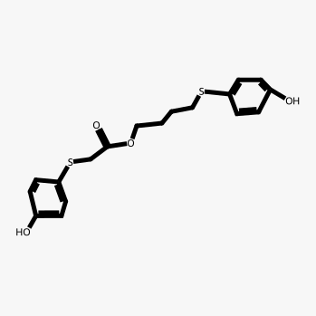 O=C(CSc1ccc(O)cc1)OCCCCSc1ccc(O)cc1